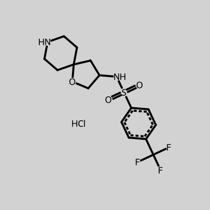 Cl.O=S(=O)(NC1COC2(CCNCC2)C1)c1ccc(C(F)(F)F)cc1